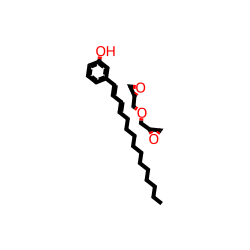 C(OCC1CO1)C1CO1.CCCCCCCCCCCC=CC=Cc1cccc(O)c1